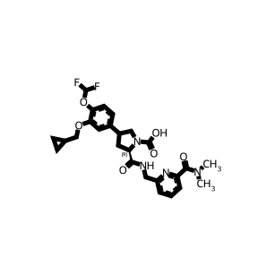 CN(C)C(=O)c1cccc(CNC(=O)[C@H]2CC(c3ccc(OC(F)F)c(OCC4CC4)c3)CN2C(=O)O)n1